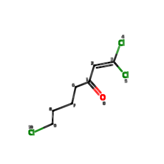 O=C(C=C(Cl)Cl)CCCCCl